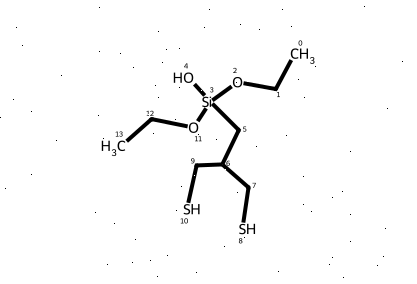 CCO[Si](O)(CC(CS)CS)OCC